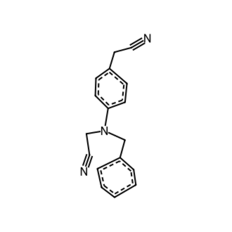 N#CCc1ccc(N(CC#N)Cc2ccccc2)cc1